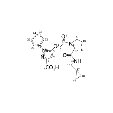 O=C(O)c1cc(OCC(=O)N2CCCC2C(=O)NCC2CC2)n(-c2ccccc2)n1